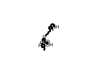 CCc1cc(F)c(OC)c([C@H](C(=O)O)N2CC[C@@H](OCCCCCc3ccc4c(n3)NCCC4)C2)c1